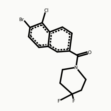 O=C(c1ccc2c(Cl)c(Br)ccc2c1)N1CCC(F)(F)CC1